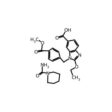 CCOc1nc2ccc(C(=O)O)cc2n1Cc1ccc(C(=O)OC)cc1.NC(=O)N1CCCCC1